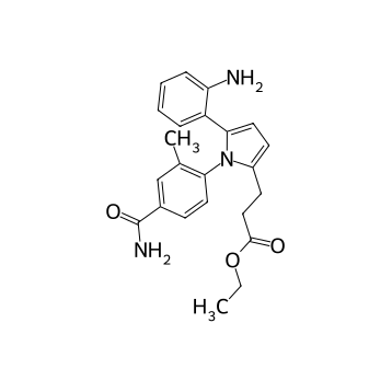 CCOC(=O)CCc1ccc(-c2ccccc2N)n1-c1ccc(C(N)=O)cc1C